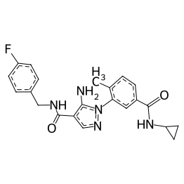 Cc1ccc(C(=O)NC2CC2)cc1-n1ncc(C(=O)NCc2ccc(F)cc2)c1N